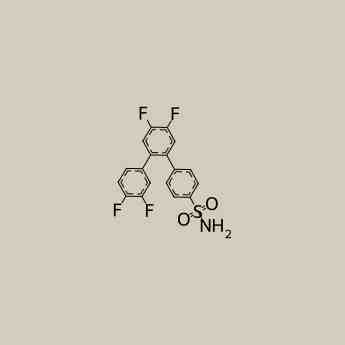 NS(=O)(=O)c1ccc(-c2cc(F)c(F)cc2-c2ccc(F)c(F)c2)cc1